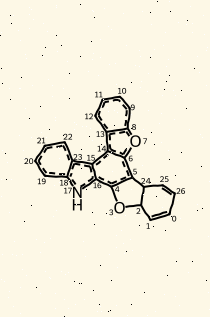 C1=CC2Oc3c(c4oc5ccccc5c4c4c3[nH]c3ccccc34)C2C=C1